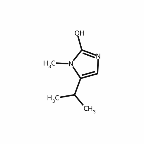 CC(C)c1cnc(O)n1C